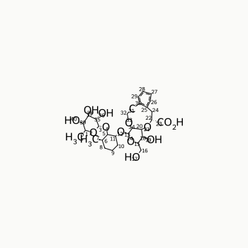 CC1O[C@@H](OC2[C@H](C)CCC[C@H]2O[C@@H]2OC(CO)[C@H](O)C3O[C@@H](C(=O)O)Cc4ccccc4CCOC32)[C@@H](O)C(O)[C@@H]1O